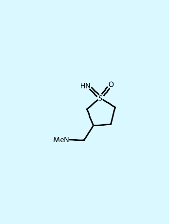 CNCC1CCS(=N)(=O)C1